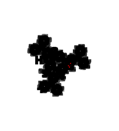 CSN1c2cc3c(cc2B2c4cc5c(cc4N(C)c4cc(N(c6ccccc6)c6ccccc6)cc1c42)N(C)c1cc(N(c2ccccc2)c2ccccc2)cc2c1B5c1ccccc1O2)B1c2ccccc2Oc2cc(N(c4ccccc4)c4ccccc4)cc(c21)N3